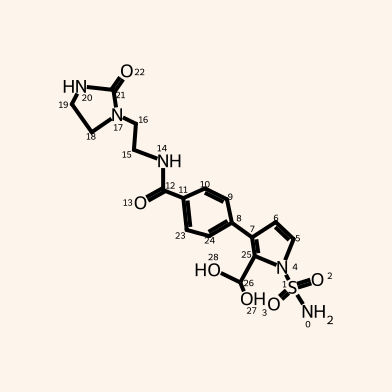 NS(=O)(=O)n1ccc(-c2ccc(C(=O)NCCN3CCNC3=O)cc2)c1C(O)O